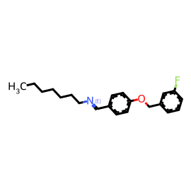 CCCCCCC/N=C/c1ccc(OCc2cccc(F)c2)cc1